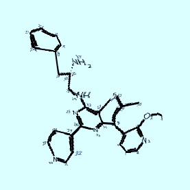 COc1ncccc1-c1c(C)sc2c(NC[C@@H](N)Cc3ccccc3)nc(-c3ccncc3)nc12